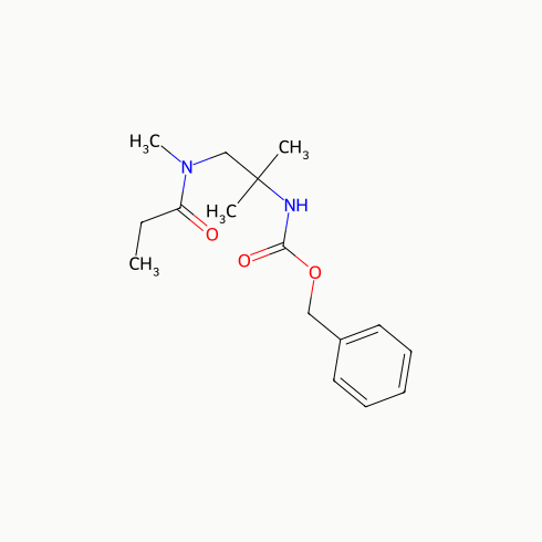 CCC(=O)N(C)CC(C)(C)NC(=O)OCc1ccccc1